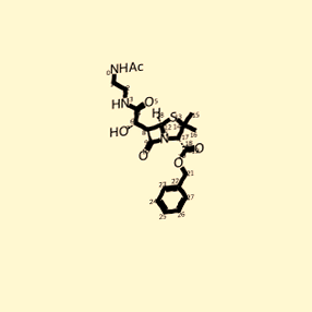 CC(=O)NCCNC(=O)[C@@H](O)[C@@H]1C(=O)N2[C@@H]1SC(C)(C)[C@@H]2C(=O)OCc1ccccc1